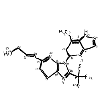 CC1=c2[nH]ncc2=CC(n2c(C(F)(F)F)nc3ccc(/C=C/CO)nc32)C1